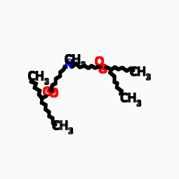 CCCCCCCCC(CCCCCC)COC(=O)CCCCCCCN(C)CCCCCCCC(=O)OCC(CCCCCC)CCCCCCCC